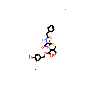 COc1ccc(COC(=O)C2=C(CBr)CS[C@@H]3[C@H](NC(=O)Cc4ccccc4)C(=O)N23)cc1